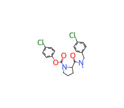 CN(Cc1ccc(Cl)cc1)C(=O)C1CCCN1C(=O)Oc1ccc(Cl)cc1